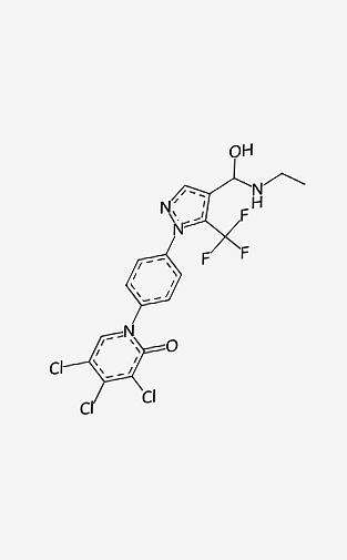 CCNC(O)c1cnn(-c2ccc(-n3cc(Cl)c(Cl)c(Cl)c3=O)cc2)c1C(F)(F)F